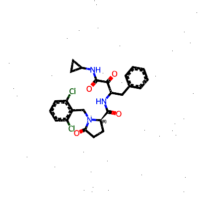 O=C(NC1CC1)C(=O)C(Cc1ccccc1)NC(=O)[C@H]1CCC(=O)N1Cc1c(Cl)cccc1Cl